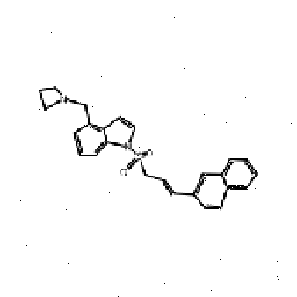 O=S(=O)(CC=Cc1ccc2ccccc2c1)n1ccc2c(CN3CCC3)cccc21